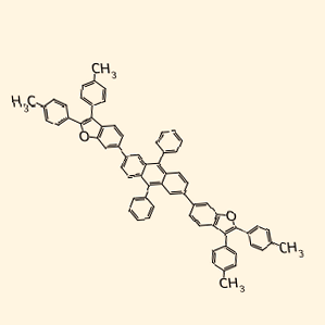 Cc1ccc(-c2oc3cc(-c4ccc5c(-c6ccccc6)c6cc(-c7ccc8c(-c9ccc(C)cc9)c(-c9ccc(C)cc9)oc8c7)ccc6c(-c6ccccc6)c5c4)ccc3c2-c2ccc(C)cc2)cc1